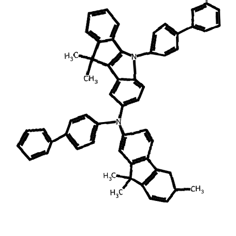 CC1C=CC2=C(C1)c1ccc(N(c3ccc(-c4ccccc4)cc3)c3ccc4c(c3)c3c(n4-c4ccc(-c5ccccc5)cc4)-c4ccccc4C3(C)C)cc1C2(C)C